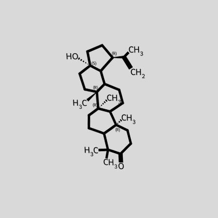 C=C(C)[C@@H]1CC[C@]2(O)CC[C@]3(C)C(CCC4[C@@]5(C)CCC(=O)C(C)(C)C5CC[C@]43C)C12